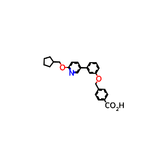 O=C(O)c1ccc(COc2cccc(-c3ccc(OCC4CCCC4)nc3)c2)cc1